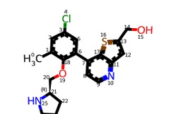 Cc1cc(Cl)cc(-c2ccnc3cc(CO)sc23)c1OC[C@H]1CCCN1